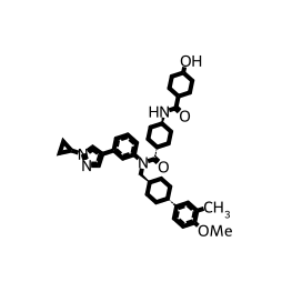 COc1ccc([C@H]2CC[C@H](CN(c3cccc(-c4cnn(C5CC5)c4)c3)C(=O)[C@H]3CC[C@H](NC(=O)C4CCC(O)CC4)CC3)CC2)cc1C